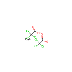 O=C([O-])C(Cl)(Cl)Cl.O=C([O-])C(Cl)(Cl)Cl.[Cu+2]